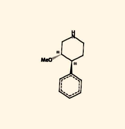 CO[C@@H]1CNCC[C@H]1c1ccccc1